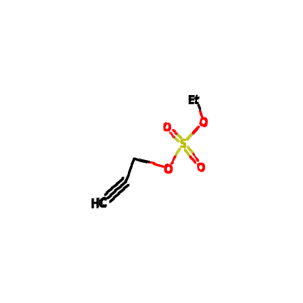 C#CCOS(=O)(=O)OCC